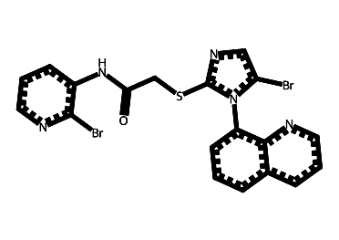 O=C(CSc1ncc(Br)n1-c1cccc2cccnc12)Nc1cccnc1Br